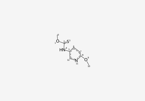 COC(=S)Nc1ccc(OC)nc1